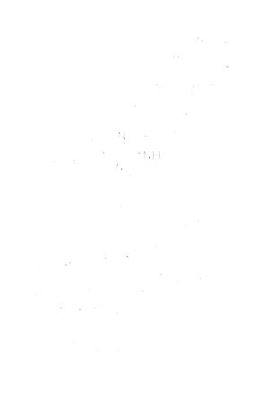 c1ccc(C2=NC(c3ccc4c(c3)oc3cccc(-c5ccc6c7ccccc7c7ccccc7c6c5)c34)NC(c3ccc(-c4ccccc4)cc3)=N2)cc1